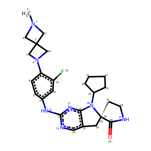 CN1CC2(C1)CN(c1ccc(Nc3ncc4c(n3)N(C3CCCC3)[C@]3(CCNC3=O)C4)cc1F)C2